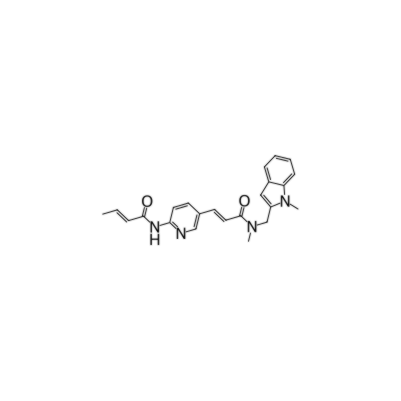 CC=CC(=O)Nc1ccc(C=CC(=O)N(C)Cc2cc3ccccc3n2C)cn1